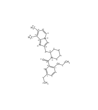 CCOc1ccc(CC)nc1C(=O)N1CCCCC1Cc1cn2ccc(C)c(C)c2n1